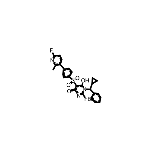 CCCCc1nc(=O)c(S(=O)(=O)c2ccc(-c3ccc(F)nc3C)cc2)c(O)n1C(c1ccccc1)C1CC1